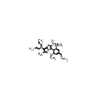 CCCN(CCC)c1c(C)nn2c(-c3c(OC)cc(COC)cc3OC)c([S+](C)[O-])sc12